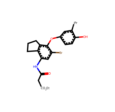 CCOC(=O)CC(=O)Nc1cc(Br)c(Oc2ccc(O)c(C(C)C)c2)c2c1CCC2